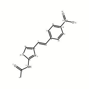 CC(=O)Nc1nc(/C=C/c2ccc([N+](=O)[O-])cc2)cs1